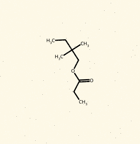 C[CH]C(=O)OCC(C)(C)CC